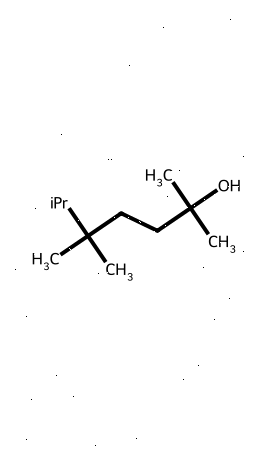 CC(C)C(C)(C)CCC(C)(C)O